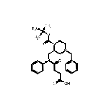 CC(C)(C)OC(=O)N1CCN(Cc2ccccc2)C[C@H]1CN(C(=O)CCC(=O)O)c1ccccc1